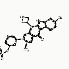 N#Cc1ccc2c(c1)[nH]c1c2c(=O)c2cc(C(F)(F)F)c(-c3cncc(OS(=O)(=O)F)c3)cc2n1C1CNC1